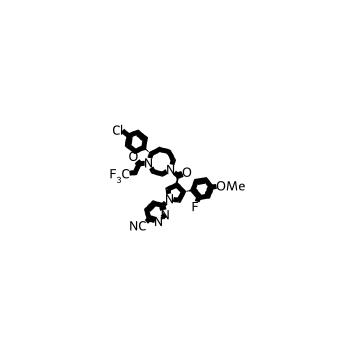 COc1ccc([C@@H]2CN(c3ccc(C#N)nn3)C[C@H]2C(=O)N2CCC[C@@H](C3C=CC(Cl)=CC3)N(C(=O)CC(F)(F)F)CC2)c(F)c1